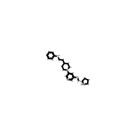 c1ccc(OCCC2CCN(c3cncc(OC[C@@H]4CCCN4)c3)CC2)cc1